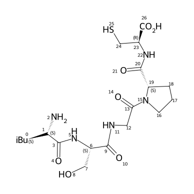 CC[C@H](C)[C@H](N)C(=O)N[C@@H](CO)C(=O)NCC(=O)N1CCC[C@H]1C(=O)N[C@@H](CS)C(=O)O